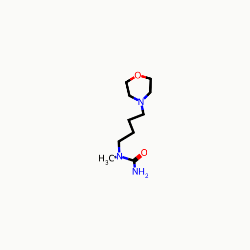 CN(CCCCN1CCOCC1)C(N)=O